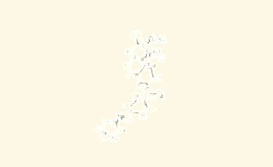 CCCCOC(=O)CC1CCc2cc(C(=O)c3ccc(C=NN4CCOCC4)cc3)ccc2C1N